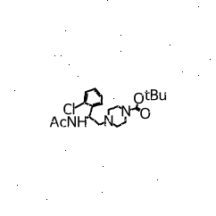 CC(=O)NC(CN1CCN(C(=O)OC(C)(C)C)CC1)c1ccccc1Cl